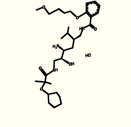 COCCCCOc1ccccc1C(=O)NC[C@@H](C[C@H](N)[C@@H](O)CNC(=O)C(C)(C)OC1CCCCC1)C(C)C.Cl